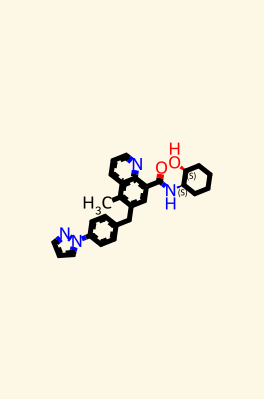 Cc1c(Cc2ccc(-n3cccn3)cc2)cc(C(=O)N[C@H]2CCCC[C@@H]2O)c2ncccc12